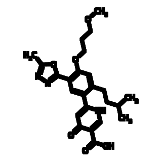 COCCCOc1cc(CCC(C)C)c(-c2cc(=O)c(C(=O)O)c[nH]2)cc1-c1nnc(C)o1